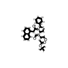 CC(C)(C)OC(=O)C[C@@H](C=O)N(C=O)[C@H]1CSC(c2ccccc2)N1C(=O)Cc1cccc2ccccc12